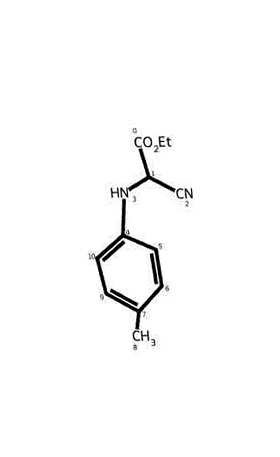 CCOC(=O)C(C#N)Nc1ccc(C)cc1